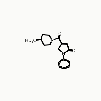 O=C(O)C1CCN(C(=O)C2CC(=O)N(c3ccccc3)C2)CC1